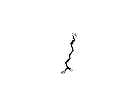 C/C=C/CC/C=C/C(=O)O